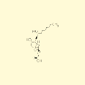 CCCCCCCC(O)C#C[C@@H]1[C@@H](O)CC[C@@]2(C)C(=CCCC(=O)O)C[C@@H]12